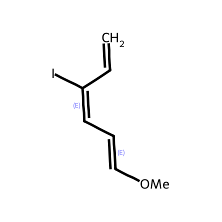 C=C/C(I)=C\C=C\OC